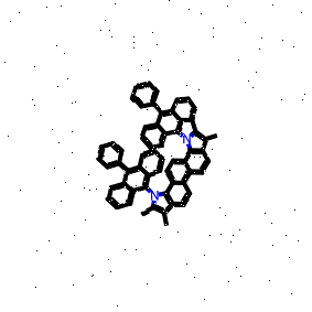 Cc1c(C)n(-c2c3ccccc3c(-c3ccccc3)c3ccccc23)c2c1ccc1c3ccc4c(C)c5c6cccc7c(-c8ccccc8)c8ccccc8c(c76)n5c4c3ccc12